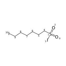 O=S(=O)(I)CCCCCCI